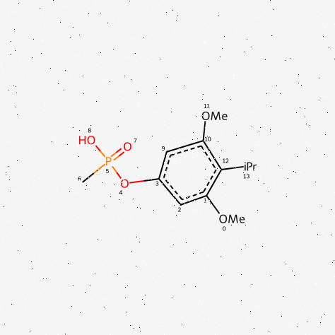 COc1cc(OP(C)(=O)O)cc(OC)c1C(C)C